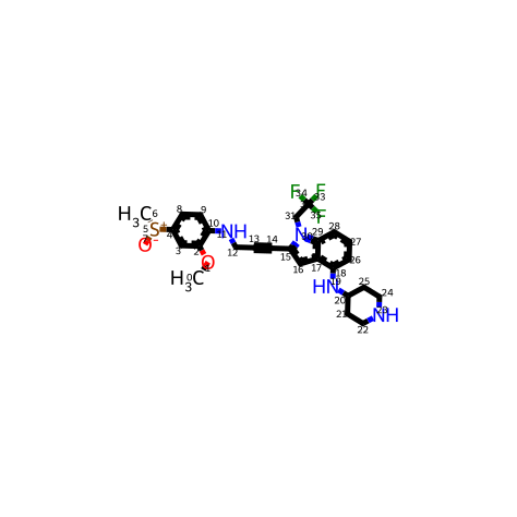 COc1cc([S+](C)[O-])ccc1NCC#Cc1cc2c(NC3CCNCC3)cccc2n1CC(F)(F)F